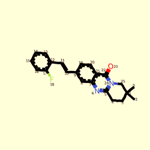 CC1(C)CCc2nc3cc(C=Cc4ccccc4F)ccc3c(=O)n2C1